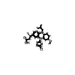 CO[C@H]1CC[C@@H](N(CC(C)C)c2ncc([C@H](C)CC(=O)O)cc2Nc2nc(Cl)ns2)CC1